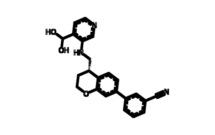 N#Cc1cccc(-c2ccc3c(c2)OCC[C@@H]3CNc2cnccc2C(O)O)c1